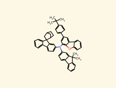 CC(C)(C)c1ccc(-c2cc(N(c3ccc4c(c3)C(C)(C)c3ccccc3-4)c3ccc4c(c3)C3(CC5CCC3C5)c3ccccc3-4)c3oc4ccccc4c3c2)cc1